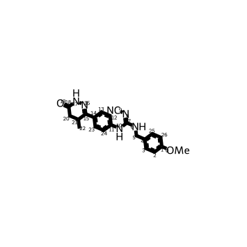 COc1ccc(CNC(=NC#N)Nc2ccc(C3=NNC(=O)CC3C)cc2)cc1